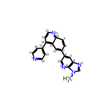 Cn1cnc2cc(-c3ccc4nccc(-c5ccncc5)c4c3)cnc21